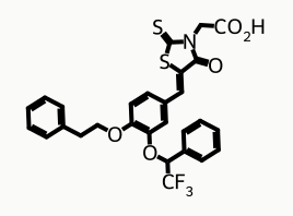 O=C(O)CN1C(=O)/C(=C/c2ccc(OCCc3ccccc3)c(OC(c3ccccc3)C(F)(F)F)c2)SC1=S